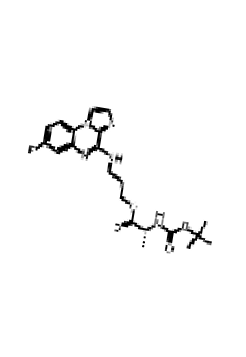 C[C@@H](NC(=O)OC(C)(C)C)C(=O)OCCCNc1nc2cc(F)ccc2n2ccnc12